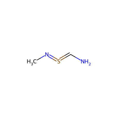 CN=S=CN